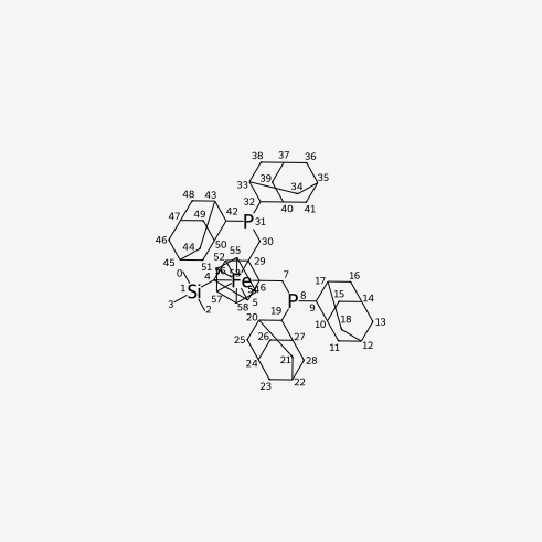 C[Si](C)(C)[C]12[CH]3[C]4(CP(C5C6CC7CC(C6)CC5C7)C5C6CC7CC(C6)CC5C7)[C]5(CP(C6C7CC8CC(C7)CC6C8)C6C7CC8CC(C7)CC6C8)[CH]1[Fe]34521678[CH]2[CH]1[CH]6[CH]7[CH]28